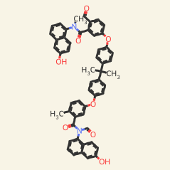 Cc1ccc(Oc2ccc(C(C)(C)c3ccc(Oc4ccc(C=O)c(C(=O)N(C)c5cccc6cc(O)ccc56)c4)cc3)cc2)cc1C(=O)N(C=O)c1cccc2cc(O)ccc12